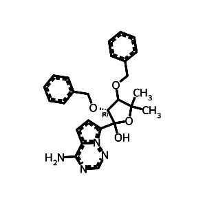 CC1(C)OC(O)(c2ccc3c(N)ncnn23)[C@H](OCc2ccccc2)C1OCc1ccccc1